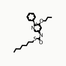 CCCCCCCSC(=O)N=c1cnn(-c2ccccc2)c(OCCC)c1